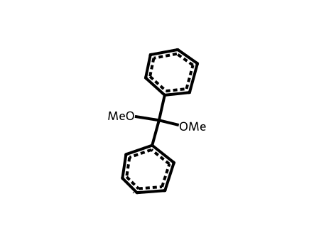 COC(OC)(c1cc[c]cc1)c1ccccc1